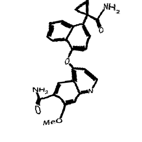 COc1cc2nccc(Oc3ccc(C4(C(N)=O)CC4)c4ccccc34)c2cc1C(N)=O